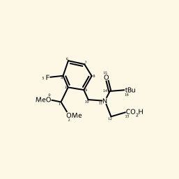 COC(OC)c1c(F)cccc1CN(CC(=O)O)C(=O)C(C)(C)C